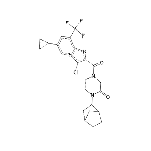 O=C(c1nc2c(C(F)(F)F)cc(C3CC3)cn2c1Cl)N1CCN(C2CC3CCC2C3)C(=O)C1